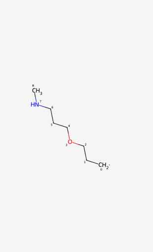 [CH2]CCOCCCNC